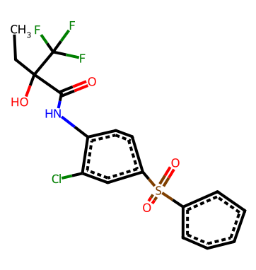 CCC(O)(C(=O)Nc1ccc(S(=O)(=O)c2ccccc2)cc1Cl)C(F)(F)F